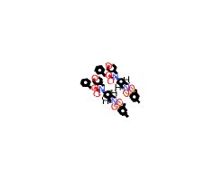 Cc1ccc(S(=O)(=O)N2C[C@H]3CC(N(CC4CCOCC4)C(=O)OCc4ccccc4)C[C@H]3C2)c(C)c1.Cc1ccc(S(=O)(=O)N2C[C@H]3CC(N(CC4CCOCC4)C(=O)OCc4ccccc4)C[C@H]3C2)c(C)c1